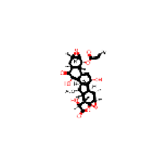 CC(=O)O[C@H]1[C@@H]2[C@H]([C@H](C)[C@H]3O[C@]34OC(=O)[C@@](C)(O)[C@]24C)[C@]2(C)[C@@H]1C1C(C[C@@H]2O)[C@]2(C)[C@H](C[C@@H]3O[C@@H]3[C@@H]2OC(=O)CC(C)C)C(=O)[C@@H]1O